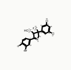 O=C(O)C1C(c2ccc(F)c(Br)c2)=NCC1(c1cc(Cl)cc(Cl)c1)C(F)(F)F